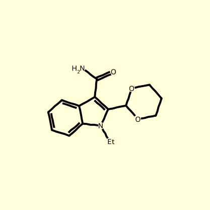 CCn1c(C2OCCCO2)c(C(N)=O)c2ccccc21